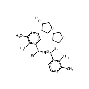 C1CCOC1.C1CCOC1.CC[N]([Hf+2][N](CC)c1cccc(C)c1C)c1cccc(C)c1C.[F-].[F-]